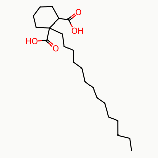 CCCCCCCCCCCCCCC1(C(=O)O)CCCCC1C(=O)O